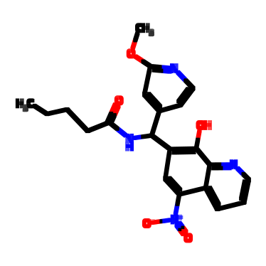 CCCCC(=O)NC(c1ccnc(OC)c1)c1cc([N+](=O)[O-])c2cccnc2c1O